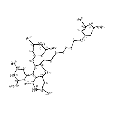 CC(C)C1CC(OCCCCCCCC(OC2CC(C(C)C)NC(C(C)C)C2)C(OC2CC(C(C)C)NC(C(C)C)C2)OC2CC(C(C)C)NC(C(C)C)C2)CC(C(C)C)N1